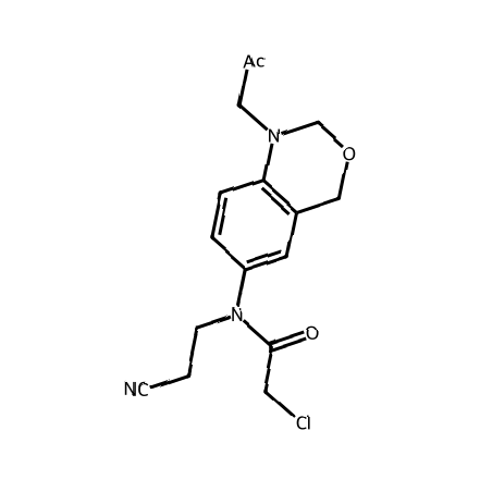 CC(=O)CN1COCc2cc(N(CCC#N)C(=O)CCl)ccc21